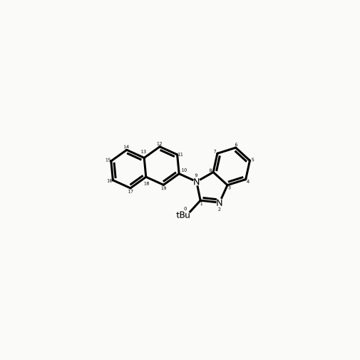 CC(C)(C)c1nc2ccccc2n1-c1ccc2ccccc2c1